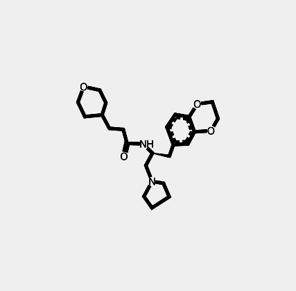 O=C(CCC1CCOCC1)N[C@@H](Cc1ccc2c(c1)OCCO2)CN1CCCC1